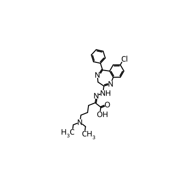 CCN(CC)CCCC(=NNC1=Nc2ccc(Cl)cc2C(c2ccccc2)=NC1)C(=O)O